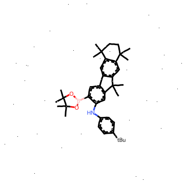 CC(C)(C)c1ccc(Nc2cc3c(cc2B2OC(C)(C)C(C)(C)O2)-c2cc4c(cc2C3(C)C)C(C)(C)CCC4(C)C)cc1